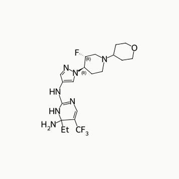 CCC1(N)NC(Nc2cnn([C@@H]3CCN(C4CCOCC4)C[C@H]3F)c2)=NC=C1C(F)(F)F